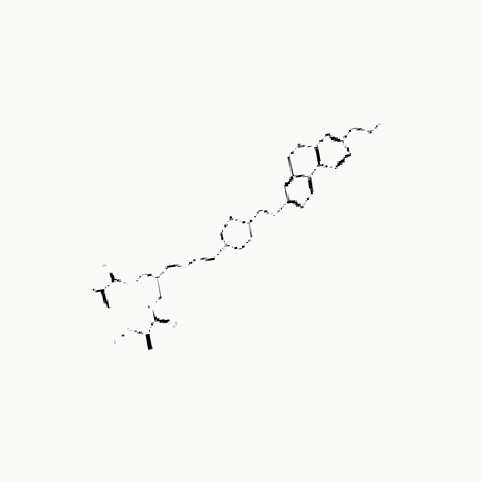 C=C(C)C(=O)OCC(CCCCC1CCC(CCc2ccc3c(c2)CCc2cc(CCC)ccc2-3)CC1)COC(=O)C(=C)CO